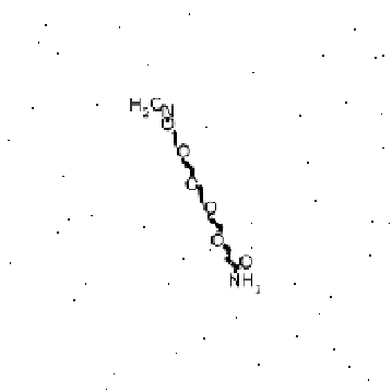 C=NOCCOCCOCCOCCOCCC(N)=O